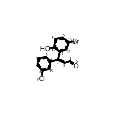 O=CC=C(c1cccc(Cl)c1)c1cc(Br)ccc1O